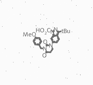 COc1ccc(CN2C(=O)CCN(c3ccc4c(C(C)(C)C)nn(C(=O)O)c4c3)C2=O)cc1